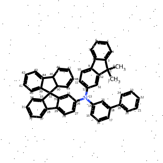 CC1(C)c2ccccc2-c2ccc(N(c3cccc(-c4ccccc4)c3)c3ccc4c(c3)C3(c5ccccc5-4)c4ccccc4C4C=CC=CC43)cc21